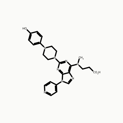 CN(CCC(=O)O)c1nc(N2CCN(c3ccc(O)cc3)CC2)nc2c1ncn2-c1ccncc1